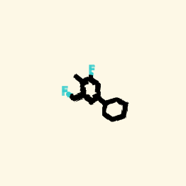 Cc1c(F)cc(C2CCCCC2)cc1CF